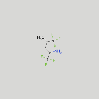 CC(CC(N)C(F)(F)F)C(F)(F)F